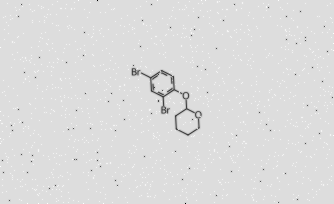 Brc1ccc(OC2CCCCO2)c(Br)c1